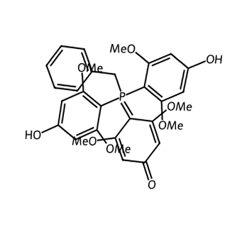 COC1=CC(=O)C=C(OC)C1=P(Cc1ccccc1)(c1c(OC)cc(O)cc1OC)c1c(OC)cc(O)cc1OC